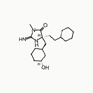 CN1C(=N)N[C@](CCC2CCCCC2)(CC2CCC[C@@H](O)C2)C1=O